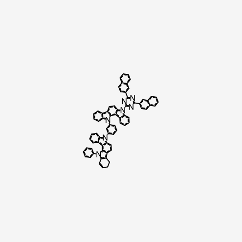 C1=Cc2c(c3ccc4c(c5ccccc5n4-c4cccc(-n5c6ccccc6c6ccc7c(c8ccccc8n7-c7nc(-c8ccc9ccccc9c8)nc(-c8ccc9ccccc9c8)n7)c65)c4)c3n2-c2ccccc2)CC1